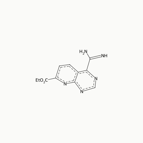 CCOC(=O)c1ccc2c(C(=N)N)ncnc2n1